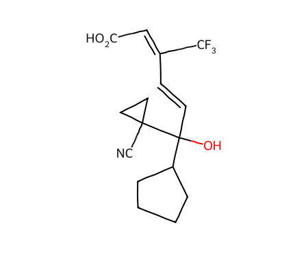 N#CC1(C(O)(/C=C/C(=C\C(=O)O)C(F)(F)F)C2CCCC2)CC1